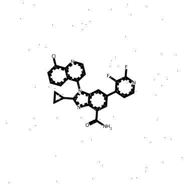 NC(=O)c1cc(-c2ccnc(F)c2F)cc2c1nc(C1CC1)n2-c1ccnc2c(Cl)cccc12